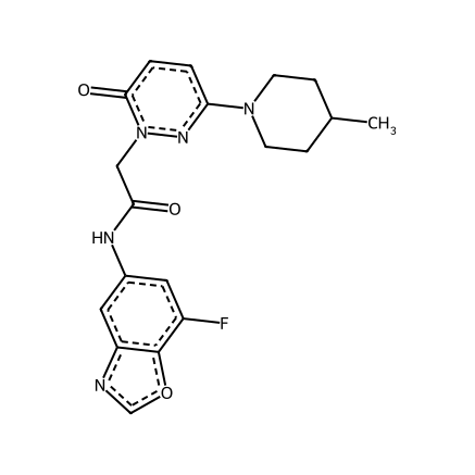 CC1CCN(c2ccc(=O)n(CC(=O)Nc3cc(F)c4ocnc4c3)n2)CC1